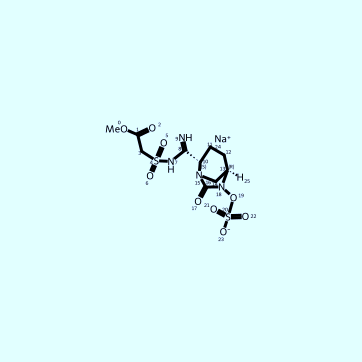 COC(=O)CS(=O)(=O)NC(=N)[C@@H]1CC[C@@H]2CN1C(=O)N2OS(=O)(=O)[O-].[Na+]